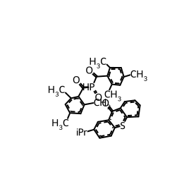 CC(C)c1ccc2sc3ccccc3c(=O)c2c1.Cc1cc(C)c(C(=O)[PH](=O)C(=O)c2c(C)cc(C)cc2C)c(C)c1